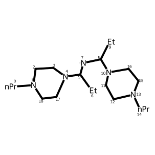 CCCN1CCN(C(CC)[N]C(CC)N2CCN(CCC)CC2)CC1